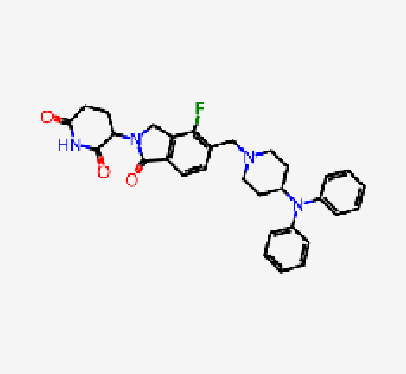 O=C1CCC(N2Cc3c(ccc(CN4CCC(N(c5ccccc5)c5ccccc5)CC4)c3F)C2=O)C(=O)N1